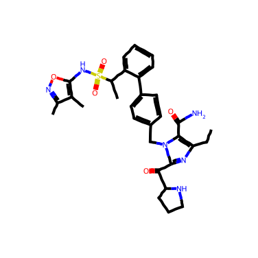 CCc1nc(C(=O)C2CCCN2)n(Cc2ccc(-c3ccccc3C(C)S(=O)(=O)Nc3onc(C)c3C)cc2)c1C(N)=O